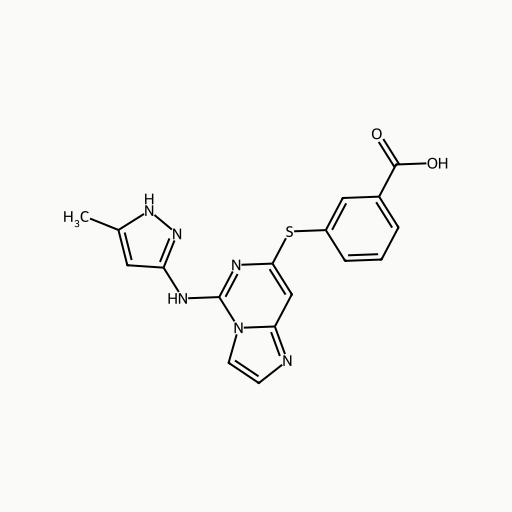 Cc1cc(Nc2nc(Sc3cccc(C(=O)O)c3)cc3nccn23)n[nH]1